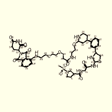 CS(=O)(=O)N1CCC(C(=O)NCC(=O)NC2NC(c3cccc(C4CCNC(OCCNC(=O)CCOCCOCCNc5cccc6c5C(=O)N(C5CCC(=O)NC5=O)C6=O)C4)c3)CS2)C1